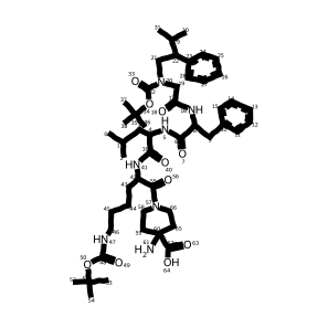 CC(C)CC(NC(=O)C(Cc1ccccc1)NC(=O)CN(CC(c1ccccc1)C(C)C)C(=O)OC(C)(C)C)C(=O)NC(CCCCNC(=O)OC(C)(C)C)C(=O)N1CCC(N)(C(=O)O)CC1